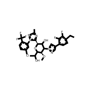 CCc1ccc(-c2cnn(C3C(O)[C@H](c4nc(C)nn4-c4cc(Cl)ccc4C(F)(F)F)OC(C(C)O)[C@@H]3OC)c2)c(F)c1F